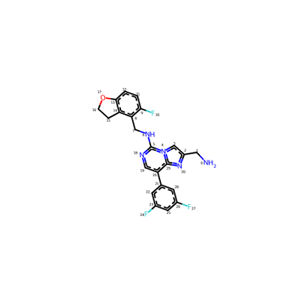 NCc1cn2c(NCc3c(F)ccc4c3CCO4)ncc(-c3cc(F)cc(F)c3)c2n1